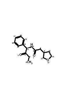 CCC(=O)[C@H](NC(=O)CC1CCOC1)c1ccccc1